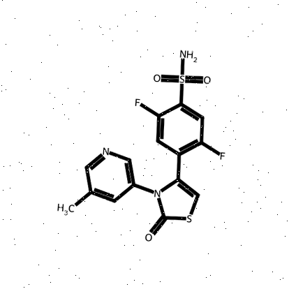 Cc1cncc(-n2c(-c3cc(F)c(S(N)(=O)=O)cc3F)csc2=O)c1